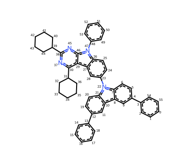 c1ccc(-c2ccc3c(c2)c2cc(-c4ccccc4)ccc2n3-c2ccc3c(c2)c2c(C4CCCCC4)nc(C4CCCCC4)nc2n3-c2ccccc2)cc1